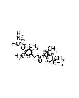 Cc1cc(CCC(=O)c2sc(C)c3c2CCC(C)(C)C3)cc(C)c1OCC(O)CN